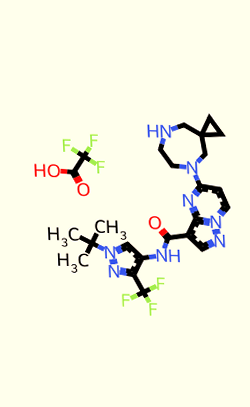 CC(C)(C)n1cc(NC(=O)c2cnn3ccc(N4CCNCC5(CC5)C4)nc23)c(C(F)(F)F)n1.O=C(O)C(F)(F)F